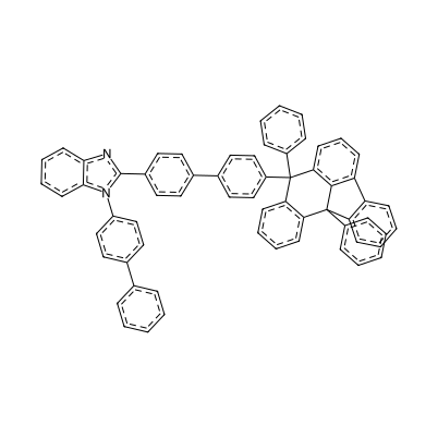 c1ccc(-c2ccc(-n3c(-c4ccc(-c5ccc(C6(c7ccccc7)c7ccccc7C7(c8ccccc8)c8ccccc8-c8cccc6c87)cc5)cc4)nc4ccccc43)cc2)cc1